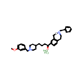 COc1cccc(CN2CCC(CCCC(=O)c3ccc4c(c3)CCN(Cc3ccccc3)CC4)CC2)c1.Cl.Cl